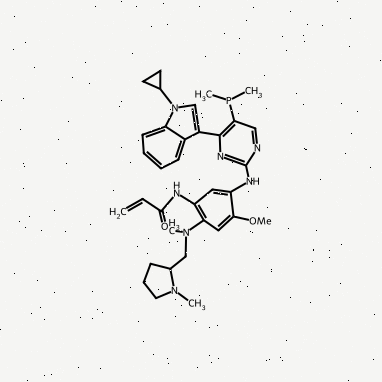 C=CC(=O)Nc1cc(Nc2ncc(P(C)C)c(-c3cn(C4CC4)c4ccccc34)n2)c(OC)cc1N(C)CC1CCCN1C